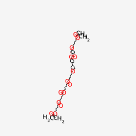 C=C(C)C(=O)OCCCCCCOc1ccc(C(=O)Oc2ccc(C3CCC(OCCCCCCOC(=O)CCCCCOC(=O)CCCCCOC(=O)CCCCCOC(=O)C(=C)C)CC3)cc2)cc1